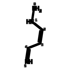 BN/C=C\C=N